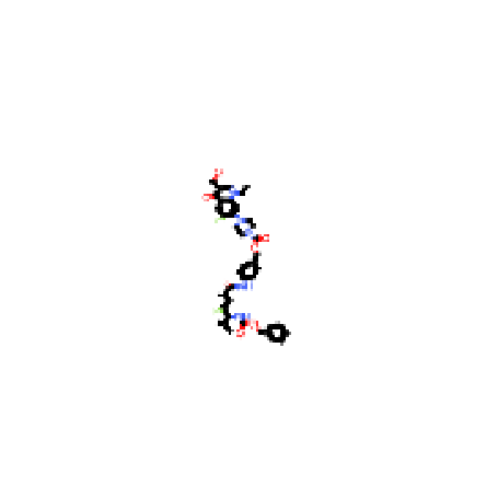 CCn1cc(C=O)c(=O)c2cc(F)c(N3CCN(C(=O)OCc4ccc(NC(=O)[C@H](C)/C=C(\F)[C@@H](NC(=O)OCc5ccccc5)C(C)C)cc4)CC3)cc21